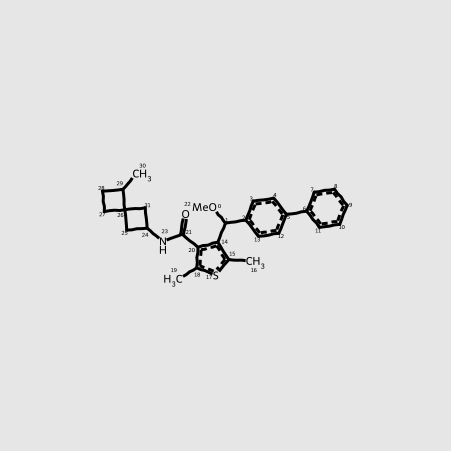 COC(c1ccc(-c2ccccc2)cc1)c1c(C)sc(C)c1C(=O)NC1CC2(CCC2C)C1